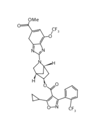 COC(=O)C1=CC(OC(F)(F)F)=C2N=C(N3C[C@@H]4C[C@H]3C[C@H]4OC(=O)c3c(-c4ccccc4C(F)(F)F)noc3C3CC3)N=C2C1